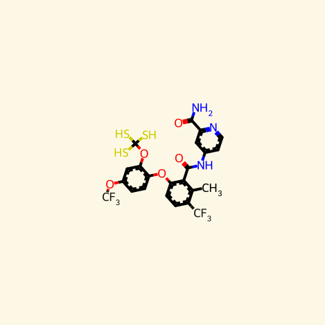 Cc1c(C(F)(F)F)ccc(Oc2ccc(OC(F)(F)F)cc2OC(S)(S)S)c1C(=O)Nc1ccnc(C(N)=O)c1